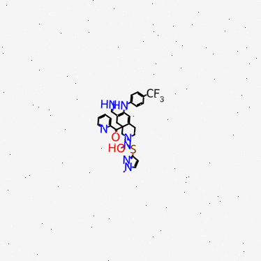 Cn1ccc(SN(O)N2CCC3=CC(Nc4ccc(C(F)(F)F)cc4)=C(C=N)CC3(C(=O)c3ccccn3)C2)n1